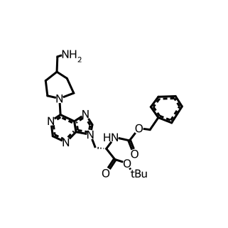 CC(C)(C)OC(=O)[C@H](Cn1cnc2c(N3CCC(CN)CC3)ncnc21)NC(=O)OCc1ccccc1